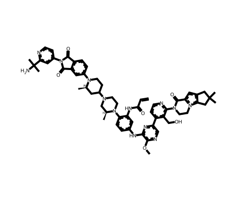 C=CC(=O)Nc1cc(Nc2nc(-c3ccnc(N4CCn5c(cc6c5CC(C)(C)C6)C4=O)c3CO)cnc2OC)ccc1N1CCN(C2CCN(c3ccc4c(c3)C(=O)N(c3ccnc(C(C)(C)N)c3)C4=O)[C@H](C)C2)C[C@@H]1C